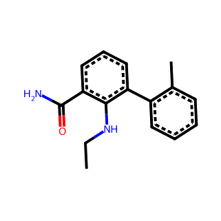 CCNc1c(C(N)=O)cccc1-c1ccccc1C